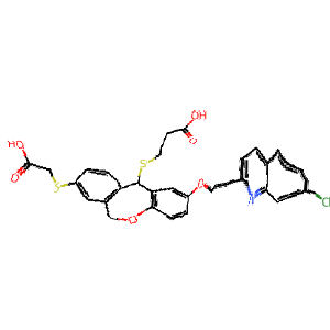 O=C(O)CCSC1c2ccc(SCC(=O)O)cc2COc2ccc(OCc3ccc4ccc(Cl)cc4n3)cc21